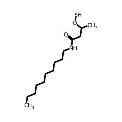 CCCCCCCCCCNC(=O)CC(C)OS